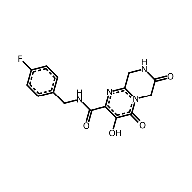 O=C1Cn2c(nc(C(=O)NCc3ccc(F)cc3)c(O)c2=O)CN1